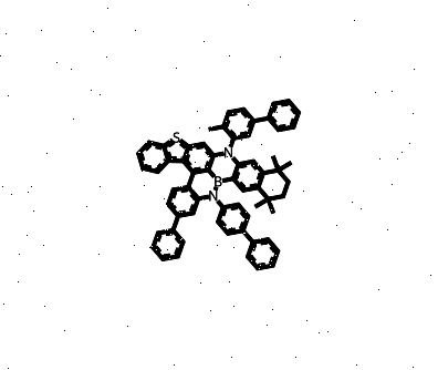 Cc1ccc(-c2ccccc2)cc1N1c2cc3c(cc2B2c4c1cc1sc5ccccc5c1c4-c1ccc(-c4ccccc4)cc1N2c1ccc(-c2ccccc2)cc1)C(C)(C)CCC3(C)C